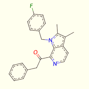 Cc1c(C)n(Cc2ccc(F)cc2)c2c(C(=O)Cc3ccccc3)nccc12